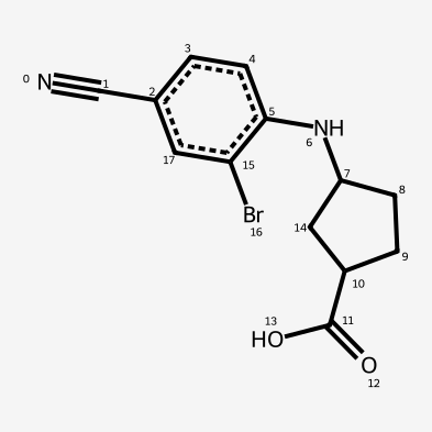 N#Cc1ccc(NC2CCC(C(=O)O)C2)c(Br)c1